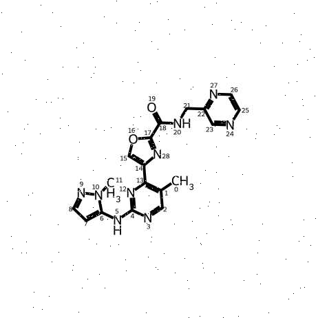 Cc1cnc(Nc2ccnn2C)nc1-c1coc(C(=O)NCc2cnccn2)n1